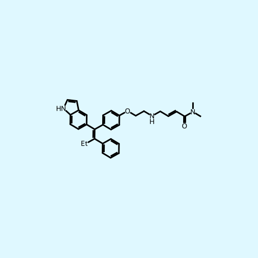 CC/C(=C(/c1ccc(OCCNCC=CC(=O)N(C)C)cc1)c1ccc2[nH]ccc2c1)c1ccccc1